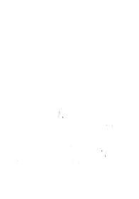 CN(C)C(=O)c1cn2c3c(c(F)c(F)cc3c1=O)Oc1cc3c(cc1-2)oc1ccccc13